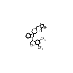 O=c1[nH]cnn1CN1CCC(COC(CO)c2cc(C(F)(F)F)cc(C(F)(F)F)c2)(c2ccccc2)CC1